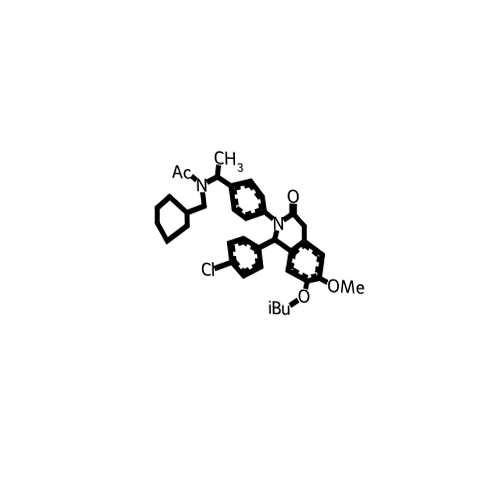 CCC(C)Oc1cc2c(cc1OC)CC(=O)N(c1ccc(C(C)N(CC3CCCCC3)C(C)=O)cc1)C2c1ccc(Cl)cc1